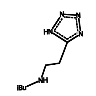 CCC(C)NCCc1nnn[nH]1